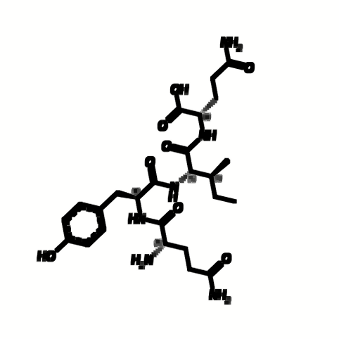 CC[C@H](C)[C@H](NC(=O)[C@H](Cc1ccc(O)cc1)NC(=O)[C@@H](N)CCC(N)=O)C(=O)N[C@@H](CCC(N)=O)C(=O)O